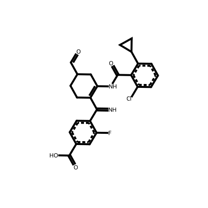 N=C(C1=C(NC(=O)c2c(Cl)cccc2C2CC2)CC(C=O)CC1)c1ccc(C(=O)O)cc1F